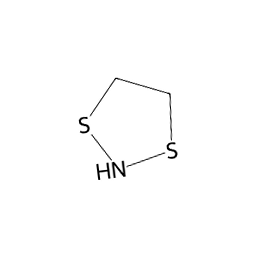 C1CSNS1